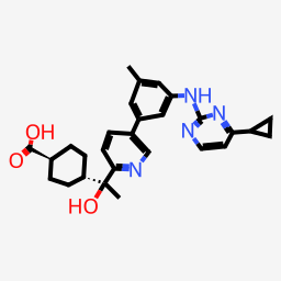 Cc1cc(Nc2nccc(C3CC3)n2)cc(-c2ccc(C(C)(O)[C@H]3CC[C@H](C(=O)O)CC3)nc2)c1